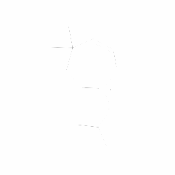 CC(C)OP1OC=CC(C)(C)CO1